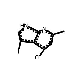 Cc1cc(Cl)c2c(I)c[nH]c2n1